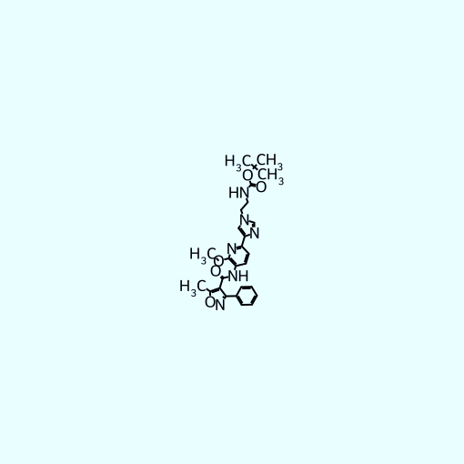 COc1nc(-c2cn(CCNC(=O)OC(C)(C)C)cn2)ccc1NC(=O)c1c(-c2ccccc2)noc1C